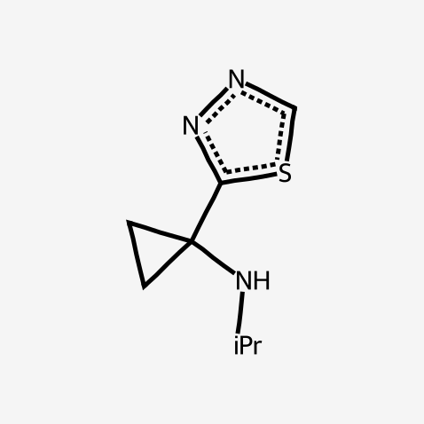 CC(C)NC1(c2nncs2)CC1